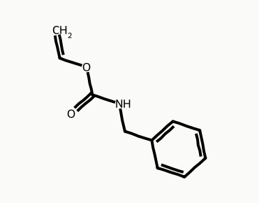 C=COC(=O)NCc1ccccc1